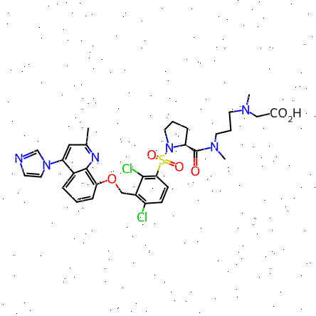 Cc1cc(-n2ccnc2)c2cccc(OCc3c(Cl)ccc(S(=O)(=O)N4CCC[C@H]4C(=O)N(C)CCCN(C)CC(=O)O)c3Cl)c2n1